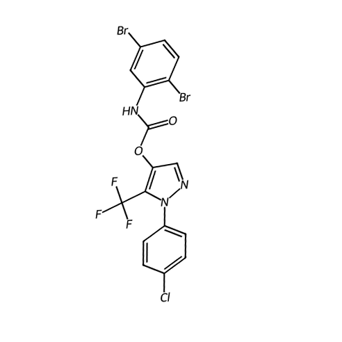 O=C(Nc1cc(Br)ccc1Br)Oc1cnn(-c2ccc(Cl)cc2)c1C(F)(F)F